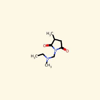 CCN(C)CN1C(=O)CC(C)C1=O